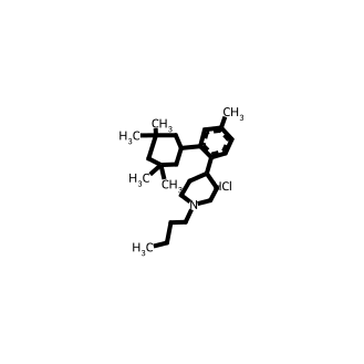 CCCCN1CCC(c2ccc(C)cc2C2CC(C)(C)CC(C)(C)C2)CC1.Cl